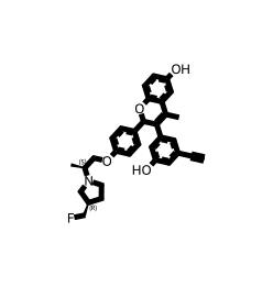 C#Cc1cc(O)cc(C2=C(C)c3cc(O)ccc3OC2c2ccc(OC[C@H](C)N3CC[C@@H](CF)C3)cc2)c1